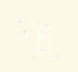 CC(C)(C)CC(C)(C)c1ccc(O)c(Br)c1